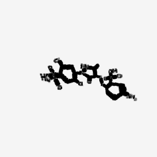 Cc1[nH]n(-c2cc(Cl)c(S(=O)(=O)O)cc2Cl)c(=O)c1N=Nc1ccc(N)cc1S(=O)(=O)O